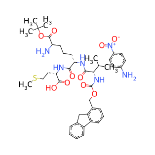 CSCC[C@H](NC(=O)[C@H](CCCC(N)C(=O)OC(C)(C)C)NC(=O)[C@@H](NC(=O)OCc1cccc2c1Cc1ccccc1-2)C(C)C)C(=O)O.Nc1ccc([N+](=O)[O-])cc1